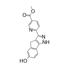 COC(=O)c1ccc(-c2n[nH]c3c2Cc2cc(O)ccc2-3)nc1